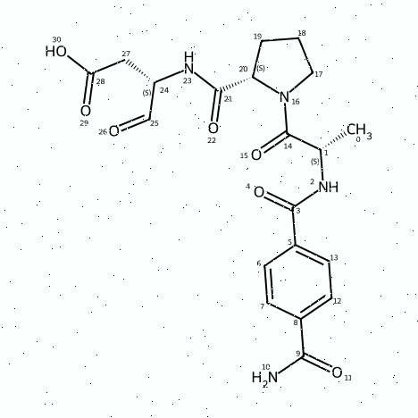 C[C@H](NC(=O)c1ccc(C(N)=O)cc1)C(=O)N1CCC[C@H]1C(=O)N[C@H](C=O)CC(=O)O